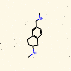 CNCc1ccc2c(c1)CCC(NC)C2